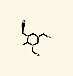 C#CCN1CN(CC#N)CN(CC#N)C1F